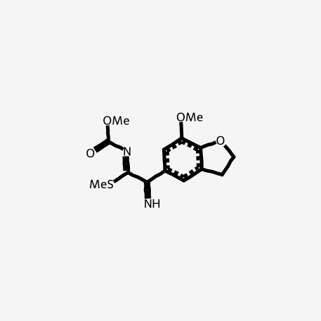 COC(=O)N=C(SC)C(=N)c1cc2c(c(OC)c1)OCC2